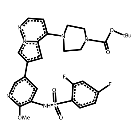 COc1ncc(-c2cc3c(N4CCN(C(=O)OC(C)(C)C)CC4)ccnn3c2)cc1NS(=O)(=O)c1ccc(F)cc1F